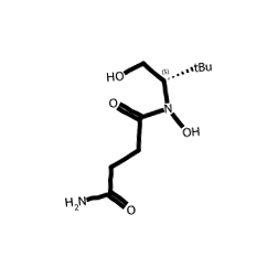 CC(C)(C)[C@@H](CO)N(O)C(=O)CCC(N)=O